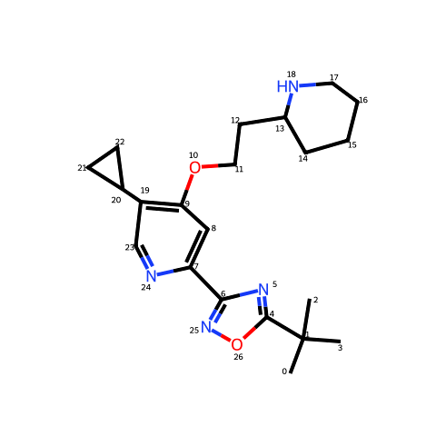 CC(C)(C)c1nc(-c2cc(OCCC3CCCCN3)c(C3CC3)cn2)no1